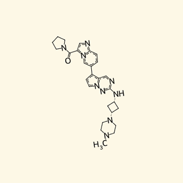 CN1CCN([C@H]2C[C@@H](Nc3ncc4c(-c5ccc6ncc(C(=O)N7CCCC7)n6c5)ccn4n3)C2)CC1